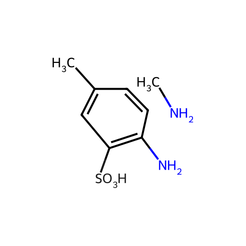 CN.Cc1ccc(N)c(S(=O)(=O)O)c1